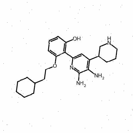 Nc1nc(-c2c(O)cccc2OCCC2CCCCC2)cc(C2CCCNC2)c1N